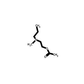 CCCN(C)CCOC(C)=O